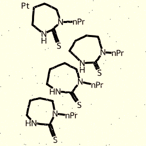 CCCN1CCCCNC1=S.CCCN1CCCCNC1=S.CCCN1CCCCNC1=S.CCCN1CCCCNC1=S.[Pt]